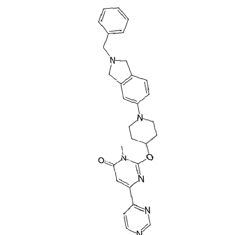 Cn1c(OC2CCN(c3ccc4c(c3)CN(Cc3ccccc3)C4)CC2)nc(-c2ccncn2)cc1=O